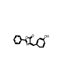 O=C1OC(c2ccccc2)=N/C1=C/C1=CC=C(O)C=CC1